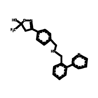 OC1(C(F)(F)F)CC(c2ccc(CNCc3ccccc3-c3cccnc3)cc2)=NO1